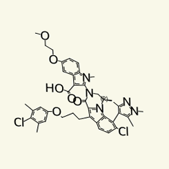 COCCOc1ccc2c(c1)c(C(=O)O)c(N1C[C@@H](C)n3c(c(CCCOc4cc(C)c(Cl)c(C)c4)c4ccc(Cl)c(-c5c(C)nn(C)c5C)c43)C1=O)n2C